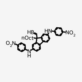 B=CC1(CCCCCCCC)c2cc(Nc3ccc([N+](=O)[O-])cc3)ccc2-c2ccc(Nc3ccc([N+](=O)[O-])cc3)cc21